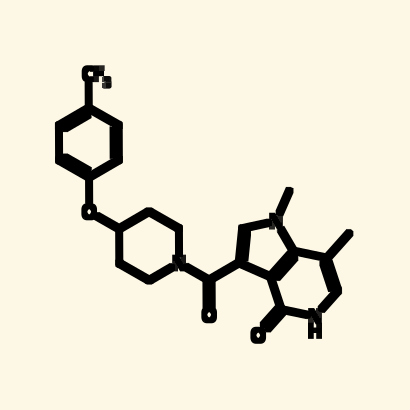 Cc1c[nH]c(=O)c2c(C(=O)N3CCC(Oc4ccc(C(F)(F)F)cc4)CC3)cn(C)c12